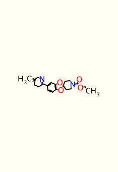 CCOC(=O)N1CCC2(CC1)Oc1ccc(C3=NC[C@@H](C)CC3)cc1O2